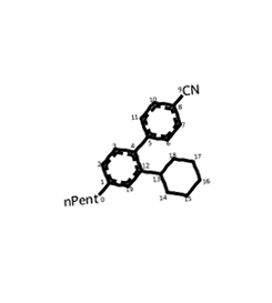 CCCCCc1ccc(-c2ccc(C#N)cc2)c(C2CCCCC2)c1